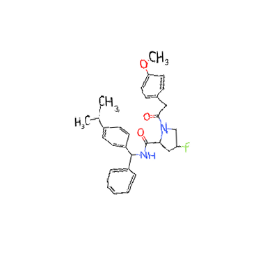 COc1ccc(CC(=O)N2CC(F)CC2C(=O)NC(c2ccccc2)c2ccc(C(C)C)cc2)cc1